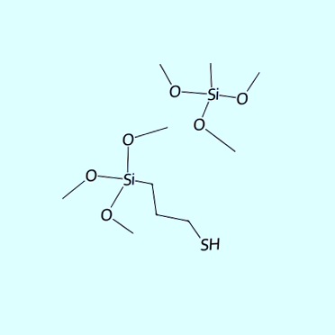 CO[Si](C)(OC)OC.CO[Si](CCCS)(OC)OC